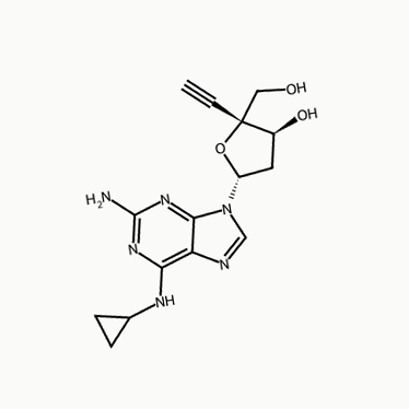 C#C[C@]1(CO)O[C@@H](n2cnc3c(NC4CC4)nc(N)nc32)C[C@@H]1O